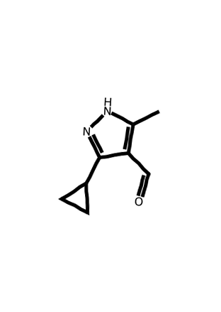 Cc1[nH]nc(C2CC2)c1C=O